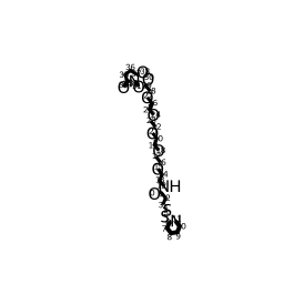 O=C(CCSSc1ccccn1)NCCOCCOCCOCCOC=COCC(=O)ON1C(=O)CCC1=O